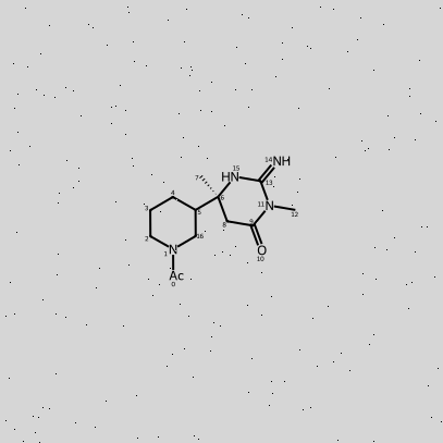 CC(=O)N1CCCC([C@]2(C)CC(=O)N(C)C(=N)N2)C1